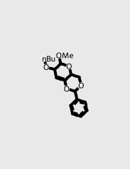 CCCCOC1C=C2OC(c3ccccc3)OCC2OC1OC